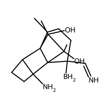 BC1(C=N)CCC(C)C23C4CCC4(N)C12C(C)(O)C3(C)O